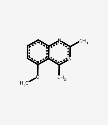 COc1cccc2nc(C)nc(C)c12